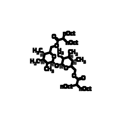 CCCCCCCCC(CCCCCCCC)C(=O)OCC1O[C@H](O[C@H]2OC(COC(=O)C(CCCCCCCC)CCCCCCCC)[C@@H](C)[C@H](C)C2C)C(C)[C@@H](C)[C@@H]1C